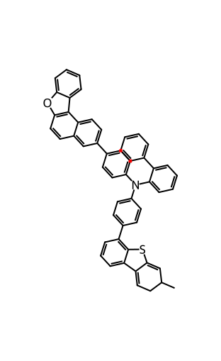 CC1C=c2sc3c(-c4ccc(N(c5ccc(-c6ccc7c(ccc8oc9ccccc9c87)c6)cc5)c5ccccc5-c5ccccc5)cc4)cccc3c2=CC1